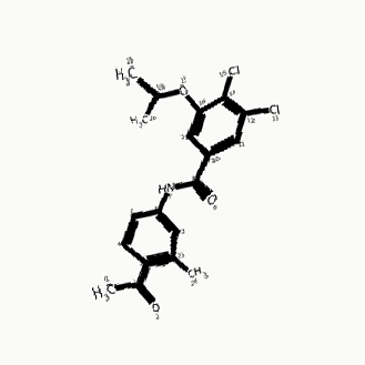 CC(=O)c1ccc(NC(=O)c2cc(Cl)c(Cl)c(OC(C)C)c2)cc1C